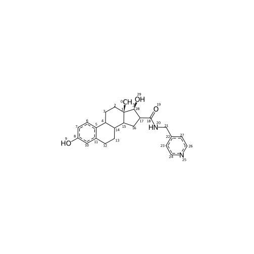 C[C@]12CCC3c4ccc(O)cc4CCC3C1CC(C(=O)NCc1ccncc1)[C@@H]2O